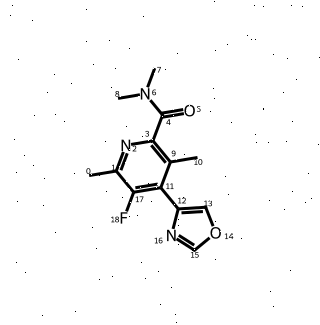 Cc1nc(C(=O)N(C)C)c(C)c(-c2cocn2)c1F